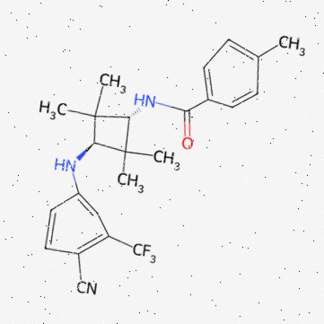 Cc1ccc(C(=O)N[C@H]2C(C)(C)[C@H](Nc3ccc(C#N)c(C(F)(F)F)c3)C2(C)C)cc1